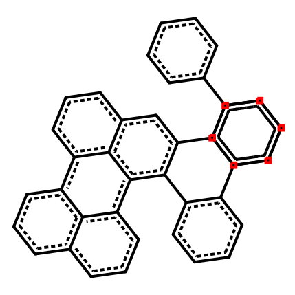 c1ccc(-c2ccccc2-c2cc3cccc4c5cccc6cccc(c(c2-c2ccccc2-c2ccccc2)c34)c65)cc1